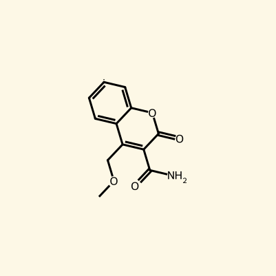 COCc1c(C(N)=O)c(=O)oc2c[c]ccc12